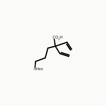 C=CC(C=C)(CCCCCCCCC)C(=O)O